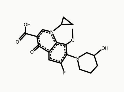 COc1c(N2CCCC(O)C2)c(F)cc2c(=O)c(C(=O)O)cn(C3CC3)c12